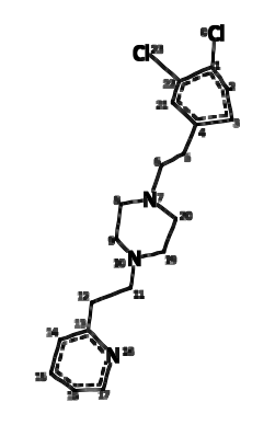 Clc1ccc(CCN2CCN(CCc3ccccn3)CC2)cc1Cl